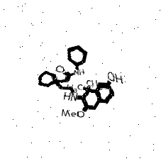 COC1Cc2ccc(O)cc2C(C)(C)C1NCCC1(CC(=O)NC2CCCCC2)CCCCC1